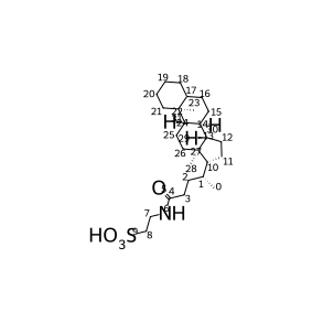 C[C@H](CCC(=O)NCCS(=O)(=O)O)[C@H]1CC[C@H]2[C@@H]3CCC4CCCC[C@]4(C)[C@H]3CC[C@]12C